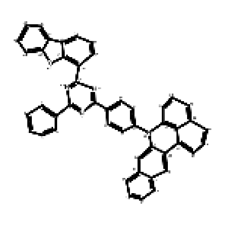 c1ccc(-c2nc(-c3ccc(N4c5cc6ccccc6cc5-c5cccc6cccc4c56)cc3)nc(-c3cccc4c3oc3ccccc34)n2)cc1